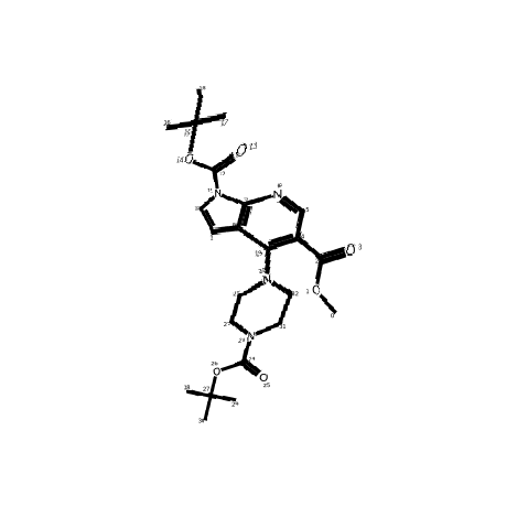 COC(=O)c1cnc2c(ccn2C(=O)OC(C)(C)C)c1N1CCN(C(=O)OC(C)(C)C)CC1